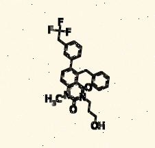 Cn1c(=O)n(CCCO)c(=O)c2c(Cc3ccccc3)c(-c3cccc(CC(F)(F)F)c3)ccc21